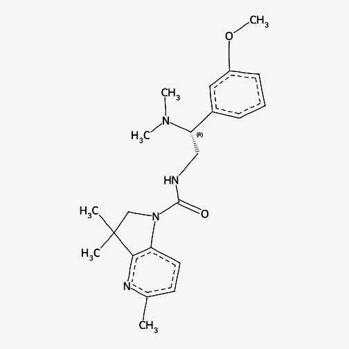 COc1cccc([C@H](CNC(=O)N2CC(C)(C)c3nc(C)ccc32)N(C)C)c1